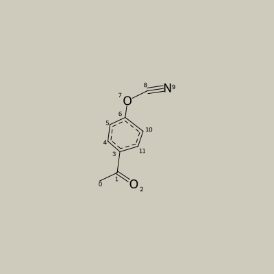 CC(=O)c1ccc(OC#N)cc1